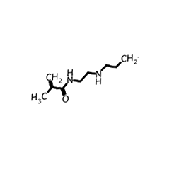 [CH2]CCNCCNC(=O)C(=C)C